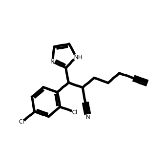 C#CCCCC(C#N)C(c1ncc[nH]1)c1ccc(Cl)cc1Cl